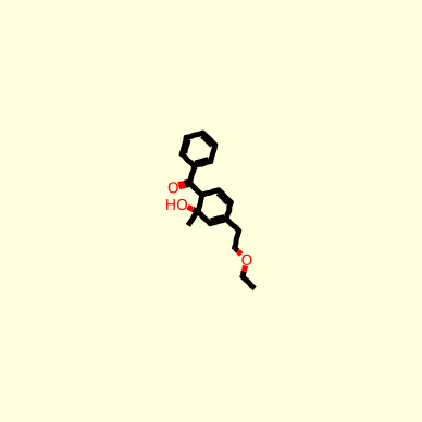 CCOCCC1=CC(C)(O)C(C(=O)c2ccccc2)C=C1